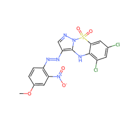 COc1ccc(/N=N/c2cnn3c2Nc2c(Cl)cc(Cl)cc2S3(=O)=O)c([N+](=O)[O-])c1